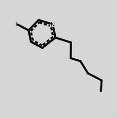 CCCCCCc1ccc(I)cn1